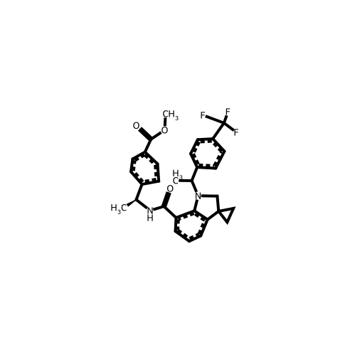 COC(=O)c1ccc([C@H](C)NC(=O)c2cccc3c2N(C(C)c2ccc(C(F)(F)F)cc2)CC32CC2)cc1